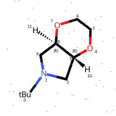 CC(C)(C)N1C[C@H]2OCCO[C@@H]2C1